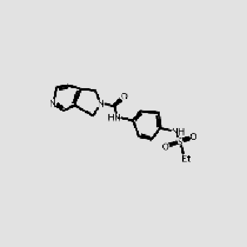 CCS(=O)(=O)Nc1ccc(NC(=O)N2Cc3ccncc3C2)cc1